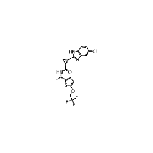 CC(NC(=O)C1CC1c1nc2cc(Cl)ccc2[nH]1)c1ccc(OCC(F)(F)F)s1